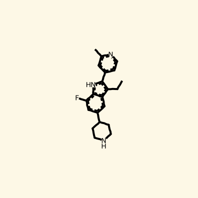 CCc1c(-c2ccnc(C)c2)[nH]c2c(F)cc(C3CCNCC3)cc12